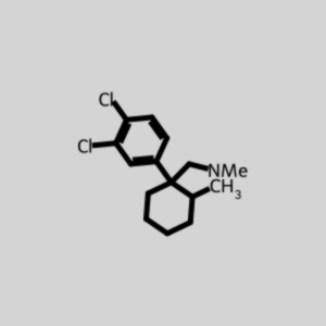 CNCC1(c2ccc(Cl)c(Cl)c2)CCCCC1C